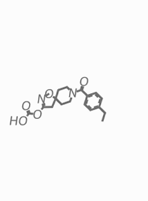 CCc1ccc(C(=O)N2CCC3(CC2)CC(OC(=O)O)=NO3)cc1